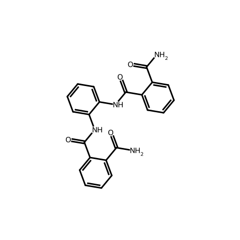 NC(=O)c1ccccc1C(=O)Nc1ccccc1NC(=O)c1ccccc1C(N)=O